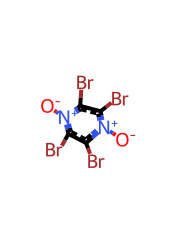 [O-][n+]1c(Br)c(Br)[n+]([O-])c(Br)c1Br